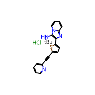 CC(C)(C)Nc1c(-c2ccc(C#Cc3ccccn3)s2)nc2ccccn12.Cl